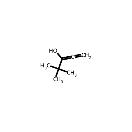 C=C=C(O)C(C)(C)C